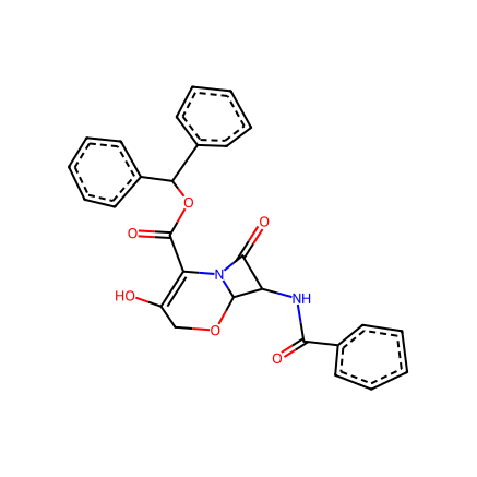 O=C(OC(c1ccccc1)c1ccccc1)C1=C(O)COC2C(NC(=O)c3ccccc3)C(=O)N12